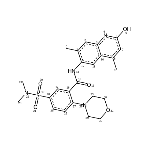 Cc1cc2nc(O)cc(C)c2cc1NC(=O)c1cc(S(=O)(=O)N(C)C)ccc1N1CCOCC1